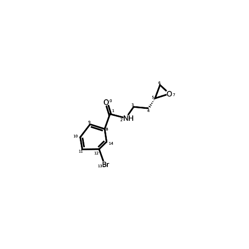 O=C(NCC[C@@H]1CO1)c1cccc(Br)c1